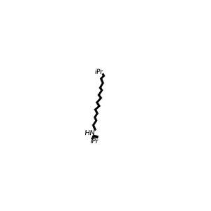 C=C(NCCCCCCCCCCCCCCCC(C)C)C(C)C